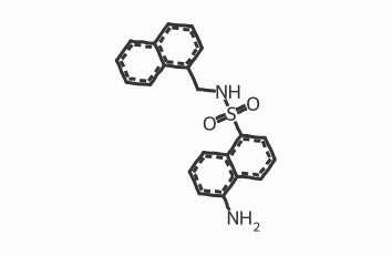 Nc1cccc2c(S(=O)(=O)NCc3cccc4ccccc34)cccc12